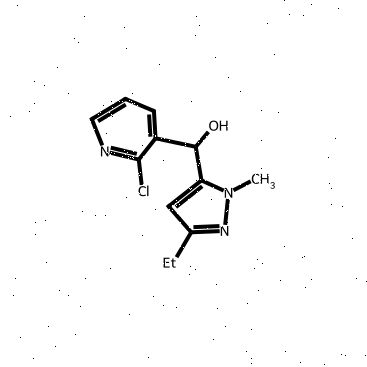 CCc1cc(C(O)c2cccnc2Cl)n(C)n1